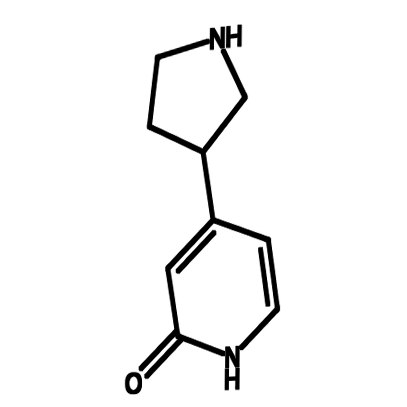 O=c1cc(C2CCNC2)cc[nH]1